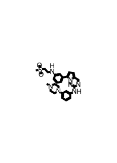 CN1CCN(c2cccc(Nc3ncc4ccc(-c5cccc(NCCS(C)(=O)=O)c5)n4n3)c2)CC1